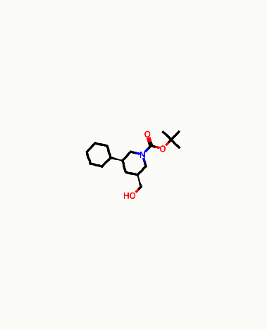 CC(C)(C)OC(=O)N1C[C@@H](CO)C[C@@H](C2CCCCC2)C1